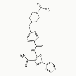 NC(=O)c1nc(-c2ccncc2)sc1NC(=O)c1ccc(CC2CCN(C(N)=O)CC2)cc1